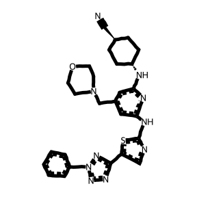 N#C[C@H]1CC[C@H](Nc2cc(CN3CCOCC3)cc(Nc3ncc(-c4nnn(-c5ccccc5)n4)s3)n2)CC1